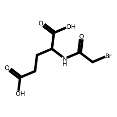 O=C(O)CCC(NC(=O)CBr)C(=O)O